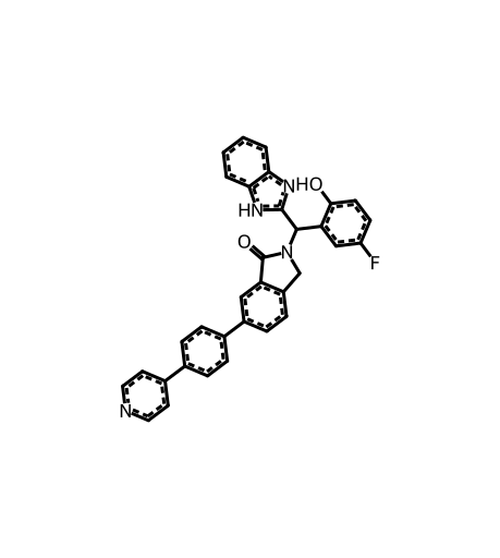 O=C1c2cc(-c3ccc(-c4ccncc4)cc3)ccc2CN1C(c1nc2ccccc2[nH]1)c1cc(F)ccc1O